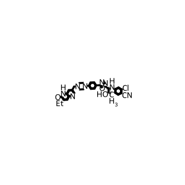 CCc1cc2ncc(CN3CCN(c4ccc(-c5nnc([C@H](Nc6ccc(C#N)c(Cl)c6)[C@H](C)O)o5)cc4)CC3)cc2[nH]c1=O